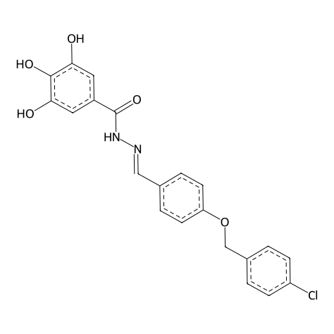 O=C(N/N=C/c1ccc(OCc2ccc(Cl)cc2)cc1)c1cc(O)c(O)c(O)c1